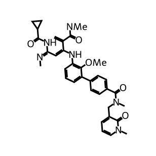 C=C(C(=O)NC)/C(=C\C(=N/C)NC(=O)C1CC1)Nc1cccc(-c2ccc(C(=O)N(C)Cc3cccn(C)c3=O)cc2)c1OC